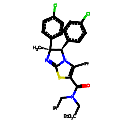 CCOC(=O)CN(CC(C)C)C(=O)C1=C(C(C)C)N2C(=N[C@@](C)(c3ccc(Cl)cc3)[C@H]2c2ccc(Cl)cc2)S1